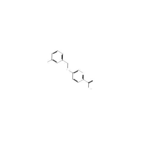 COC(=O)c1ccc(NCc2cccc(F)c2)cn1